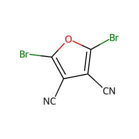 N#Cc1c(Br)oc(Br)c1C#N